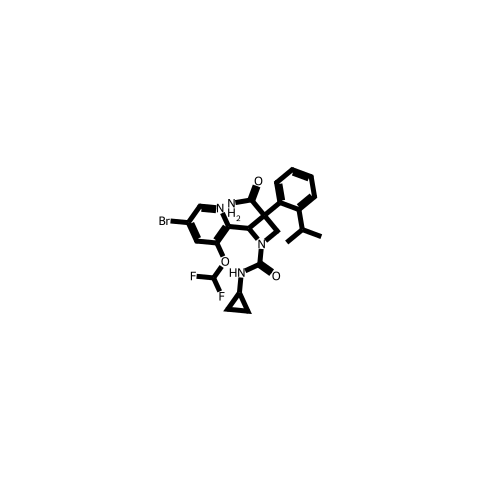 CC(C)c1ccccc1C1(C(N)=O)CN(C(=O)NC2CC2)C1c1ncc(Br)cc1OC(F)F